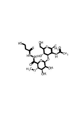 CO[C@@H]1C(C(=O)NNC(=S)CCS)O[C@@H](O[C@@H]2C(NC(C)=O)[C@H](C)OC(CO)[C@H]2O)C(O)[C@H]1O